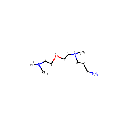 CCCN(C)CCOCCN(C)CCCN